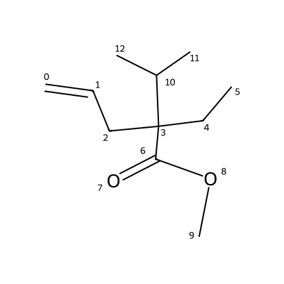 C=CCC(CC)(C(=O)OC)C(C)C